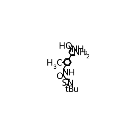 Cc1cc(C(/C=C(\N)O)=C/N)ccc1CNC(=O)c1cnc(C(C)(C)C)s1